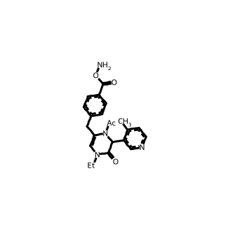 CCN1C=C(Cc2ccc(C(=O)ON)cc2)N(C(C)=O)C(c2cnccc2C)C1=O